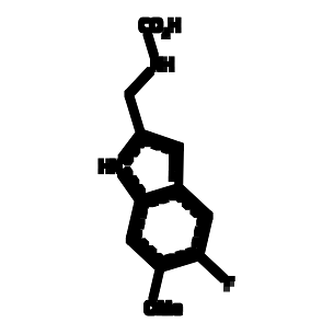 COc1cc2[nH]c(CNC(=O)O)cc2cc1F